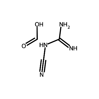 N#CNC(=N)N.O=CO